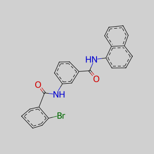 O=C(Nc1cccc2ccccc12)c1cccc(NC(=O)c2ccccc2Br)c1